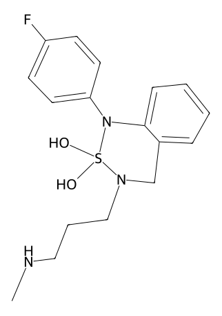 CNCCCN1Cc2ccccc2N(c2ccc(F)cc2)S1(O)O